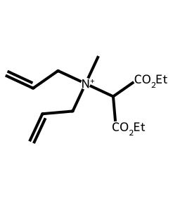 C=CC[N+](C)(CC=C)C(C(=O)OCC)C(=O)OCC